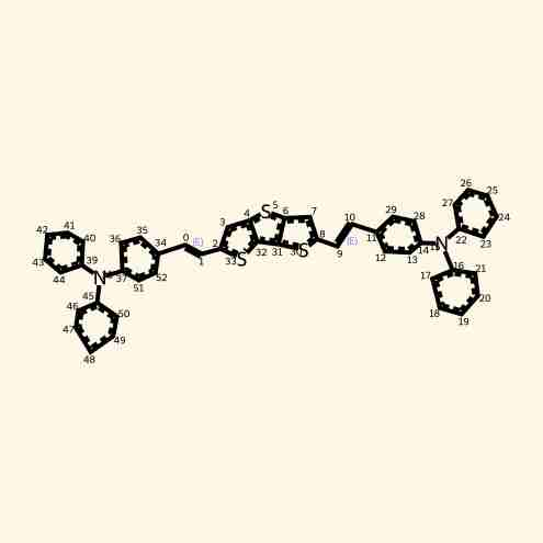 C(=C\c1cc2sc3cc(/C=C/c4ccc(N(c5ccccc5)c5ccccc5)cc4)sc3c2s1)/c1ccc(N(c2ccccc2)c2ccccc2)cc1